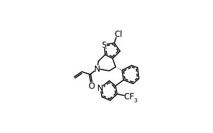 C=CC(=O)N1Cc2sc(Cl)cc2[C@H](c2ccccc2-c2cnccc2C(F)(F)F)C1